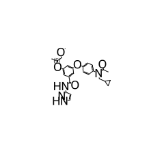 COC[C@H](C)Oc1cc(Oc2ccc(N(CC3CC3)C(C)=O)cc2)cc(C(=O)Nc2cc[nH]n2)c1